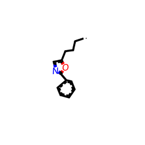 [CH2]CCCc1cnc(-c2ccccc2)o1